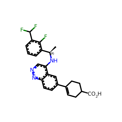 C[C@@H](Nc1cnnc2ccc(C3=CCC(C(=O)O)CC3)cc12)c1cccc(C(F)F)c1F